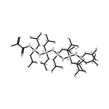 C=C(C)C(=O)O[Si](CC(C)C)(CC(C)C)O[Si](CC(C)C)(CC(C)C)O[Si](CC(C)C)(CC(C)C)O[Si](CC(C)C)(CC(C)C)O[Si](CC(C)C)(CC(C)C)CC(C)C